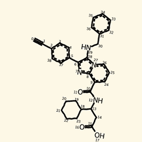 C#Cc1ccc(-c2nc3c(C(=O)NC(CC(=O)O)C4CCCCC4)cccn3c2NCc2ccccc2)cc1